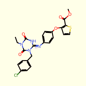 CCn1c(=O)[nH]/c(=N\c2ccc(Oc3ccsc3C(=O)OC)cc2)n(Cc2ccc(Cl)cc2)c1=O